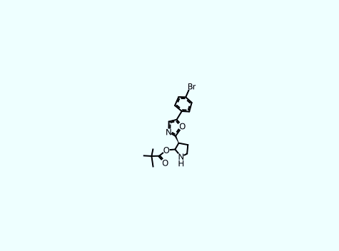 CC(C)(C)C(=O)OC1NCC[C@@H]1c1ncc(-c2ccc(Br)cc2)o1